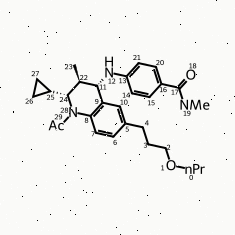 CCCOCCCc1ccc2c(c1)[C@@H](Nc1ccc(C(=O)NC)cc1)[C@H](C)[C@@H](C1CC1)N2C(C)=O